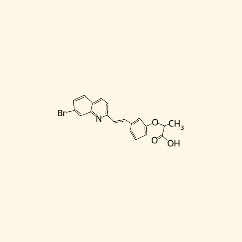 CC(Oc1cccc(/C=C/c2ccc3ccc(Br)cc3n2)c1)C(=O)O